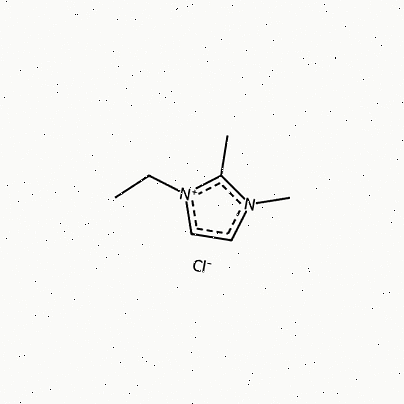 CC[n+]1ccn(C)c1C.[Cl-]